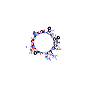 CCCC[C@H]1C(=O)N(C)[C@@H](CCSC)C(=O)N[C@@H](CCCNC(=N)N)C(=O)NC(C(=O)NCC(N)=O)CSCC(=O)N[C@@H](Cc2ccc(O)cc2)C(=O)N(C)[C@@H](C)C(=O)N[C@@H](CC(N)=O)C(=O)N2CCC[C@H]2C(=O)N[C@@H](Cc2cnc[nH]2)C(=O)N[C@@H](CC(C)C)C(=O)N2CCC[C@H]2C(=O)N[C@@H](C[C@H]2C=CNc3ccccc32)C(=O)N[C@@H](C)C(=O)N[C@@H](Cc2c[nH]c3ccccc23)C(=O)N1C